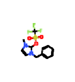 CN1C=CN(Cc2ccccc2)C1OS(=O)(=O)C(F)(F)F